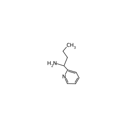 CCCC(N)c1ccccn1